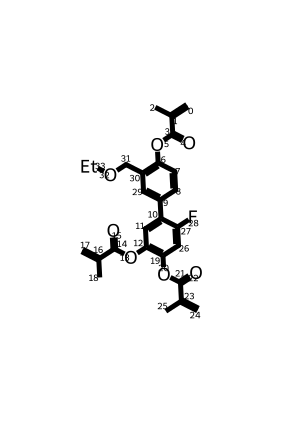 C=C(C)C(=O)Oc1ccc(-c2cc(OC(=O)C(=C)C)c(OC(=O)C(=C)C)cc2F)cc1COCC